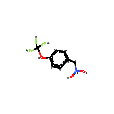 O=[N+]([O-])Cc1ccc(OC(F)(F)F)cc1